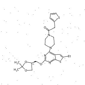 CCc1cc2c(N3CCN(C(=O)Cc4cccs4)CC3)nc(OC[C@H]3COC(C)(C)O3)nc2s1